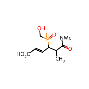 CNC(=O)C(C)C(C=CC(=O)O)[PH](=O)CO